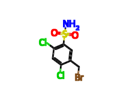 NS(=O)(=O)c1cc(CBr)c(Cl)cc1Cl